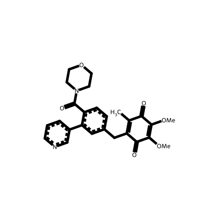 COC1=C(OC)C(=O)C(Cc2ccc(C(=O)N3CCOCC3)c(-c3cccnc3)c2)=C(C)C1=O